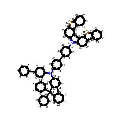 c1ccc(-c2ccc(N(c3ccc(-c4ccc(-n5c6ccc7c8ccccc8sc7c6c6c7c(ccc65)sc5ccccc57)cc4)cc3)c3ccc4c(c3)C(c3ccccc3)(c3ccccc3)c3ccccc3-4)cc2)cc1